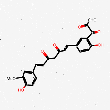 COc1cc(C=CC(=O)CC(=O)C=Cc2ccc(O)c(C(=O)C(=O)C=O)c2)ccc1O